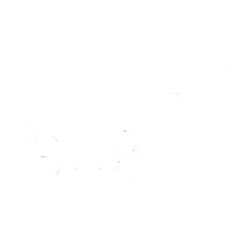 COCCNC[C@H](O)COc1ccc([C@@H](C)N2CCN(C(=O)c3ccc(C(F)(F)F)cc3)CC2)c(C)c1C